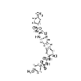 Cc1ccc(S(=O)(=O)NC(=O)Nc2ccc(Cc3ccc(NC(=O)NS(=O)(=O)c4ccc(C)cc4)c(Cl)c3)cc2Cl)cc1